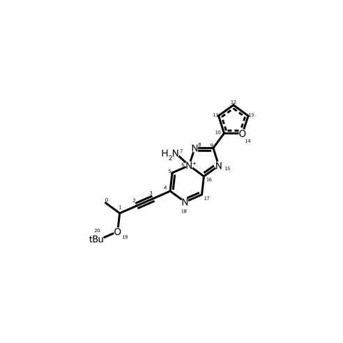 CC(C#CC1=C[N+]2(N)N=C(c3ccco3)N=C2C=N1)OC(C)(C)C